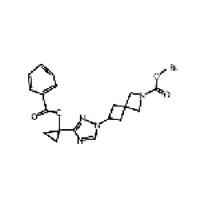 CC(C)(C)OC(=O)N1CC2(CC(n3cnc(C4(OC(=O)c5ccccc5)CC4)n3)C2)C1